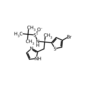 CC(C)(C)[S@@+]([O-])N[C@@](C)(Cc1ncc[nH]1)c1cc(Br)cs1